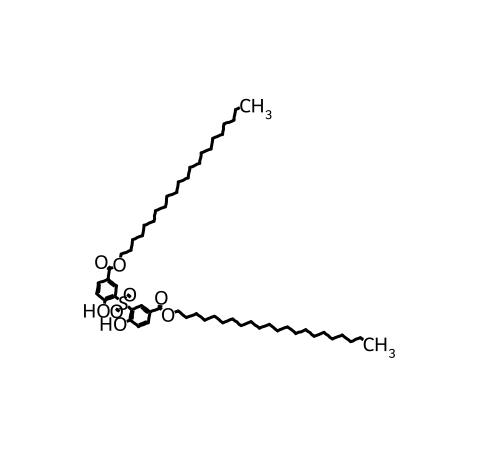 CCCCCCCCCCCCCCCCCCCCCCOC(=O)c1ccc(O)c(S(=O)(=O)c2cc(C(=O)OCCCCCCCCCCCCCCCCCCCCCC)ccc2O)c1